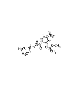 CCN(CC)CCNC(=O)c1ccc([N+](=O)[O-])cc1OC(C)OC